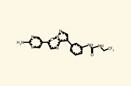 Nc1ncc(-c2cnc3c(-c4cccc(NC(=O)NCC(F)(F)F)c4)cnn3c2)cn1